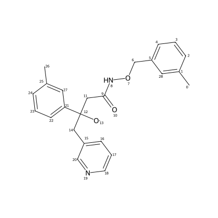 Cc1cccc(CONC(=O)CC([O])(Cc2cccnc2)c2cccc(C)c2)c1